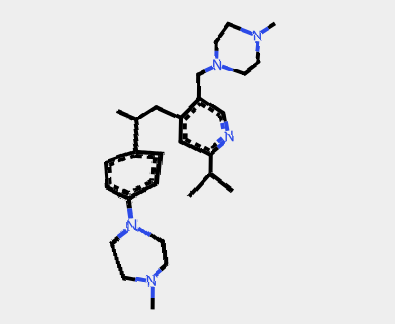 CC(C)c1cc(CC(C)c2ccc(N3CCN(C)CC3)cc2)c(CN2CCN(C)CC2)cn1